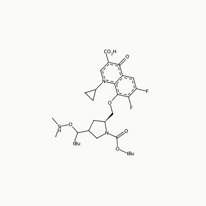 C[SiH](C)OC(C1C[C@@H](COc2c(F)c(F)cc3c(=O)c(C(=O)O)cn(C4CC4)c23)N(C(=O)OC(C)(C)C)C1)C(C)(C)C